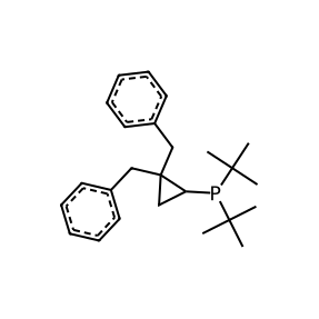 CC(C)(C)P(C1CC1(Cc1ccccc1)Cc1ccccc1)C(C)(C)C